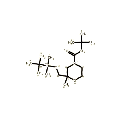 CC(C)(C)OC(=O)N1CCOC(C)(CO[Si](C)(C)C(C)(C)C)C1